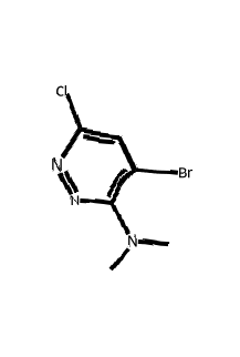 CN(C)c1nnc(Cl)cc1Br